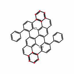 Oc1c(-c2c(-c3cc(-c4ccccc4)ccc3-c3ccccc3)cc3ccc4ccccc4c3c2O)c(-c2cc(-c3ccccc3)ccc2-c2ccccc2)cc2ccc3ccccc3c12